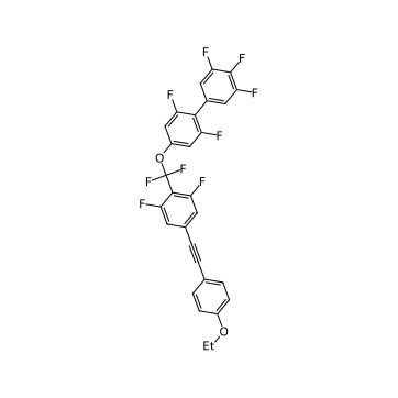 CCOc1ccc(C#Cc2cc(F)c(C(F)(F)Oc3cc(F)c(-c4cc(F)c(F)c(F)c4)c(F)c3)c(F)c2)cc1